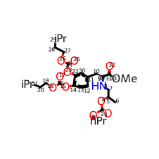 CCCOC(=O)OC(C)CN[C@@H](Cc1ccc(OC(=O)OCCC(C)C)c(OC(=O)OCCC(C)C)c1)C(=O)OC